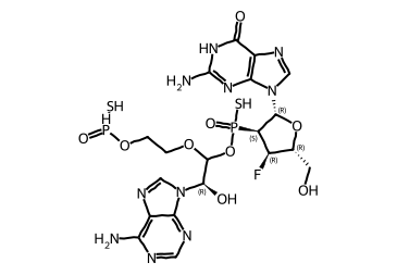 Nc1nc2c(ncn2[C@@H]2O[C@H](CO)[C@@H](F)[C@H]2P(=O)(S)OC(OCCO[PH](=O)S)[C@@H](O)n2cnc3c(N)ncnc32)c(=O)[nH]1